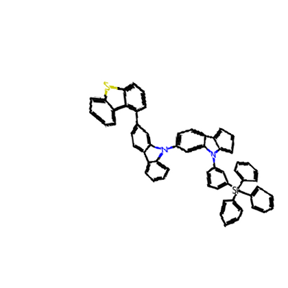 c1ccc([Si](c2ccccc2)(c2ccccc2)c2cccc(-n3c4ccccc4c4ccc(-n5c6ccccc6c6ccc(-c7cccc8sc9ccccc9c78)cc65)cc43)c2)cc1